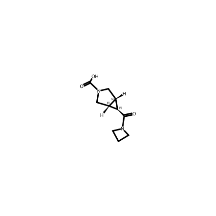 O=C(O)N1C[C@@H]2[C@H](C1)[C@H]2C(=O)N1CCC1